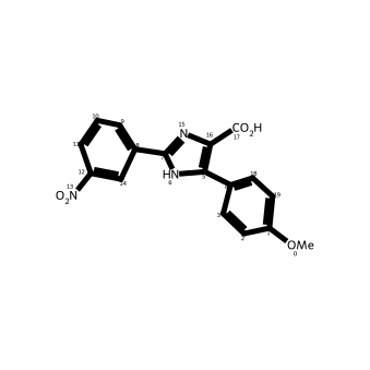 COc1ccc(-c2[nH]c(-c3cccc([N+](=O)[O-])c3)nc2C(=O)O)cc1